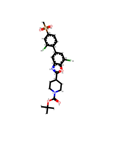 CC(C)(C)OC(=O)N1CCC(c2nc3cc(-c4ccc(S(C)(=O)=O)cc4F)cc(F)c3o2)CC1